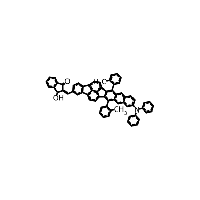 Cc1ccccc1-c1c2c(c(-c3ccccc3C)c3cc4cc(N(c5ccccc5)c5ccccc5)ccc4cc13)-c1ccc3c4c(ccc-2c14)-c1ccc(/C=C2\C(=O)c4ccccc4C2O)cc1-3